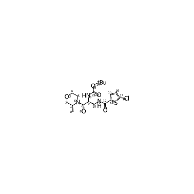 C[C@H]1COCCN1C(=O)[C@H](CNC(=O)c1ccc(Cl)s1)NC(=O)OC(C)(C)C